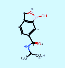 CC(C)(C)C(NC(=O)c1ccc2c(c1)B(O)OC2)C(=O)O